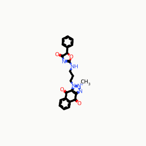 C[n+]1nc2c(n1CCCNC1=NC(=O)C(c3ccccc3)O1)C(=O)c1ccccc1C2=O